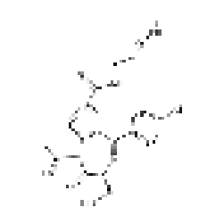 CC(=N)N1C(=N)[C@H](CO)N=C(c2ccc(Cl)cc2)c2cc(C(=O)NCCOPI)ccc21